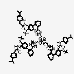 CC(C)c1ccc(CC(=O)Nc2cc(-c3ccccc3-c3nnn(COP(=O)(OCn4nnc(-c5ccccc5-c5ccc(SC(C)(C)C)c(NC(=O)Cc6ccc(C(C)C)cc6)c5)n4)OCn4nnc(-c5ccccc5-c5ccc(SC(C)(C)C)c(NC(=O)Cc6ccc(C(C)C)cc6)c5)n4)n3)ccc2SC(C)(C)C)cc1